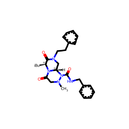 CCC(C)[C@H]1C(=O)N(CCc2ccccc2)C[C@H]2N1C(=O)CN(C)N2C(=O)NCc1ccccc1